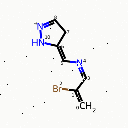 C=C(Br)/C=N\C=C1/CC=NN1